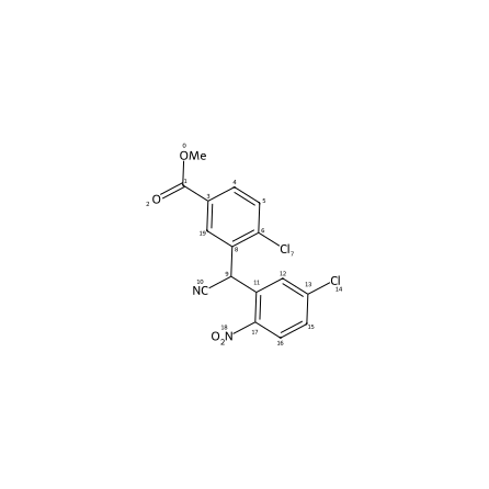 COC(=O)c1ccc(Cl)c(C(C#N)c2cc(Cl)ccc2[N+](=O)[O-])c1